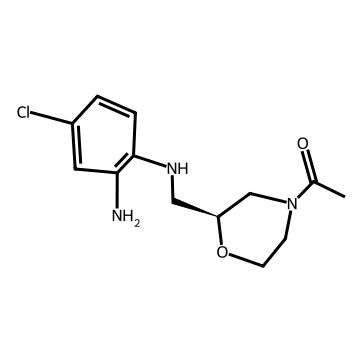 CC(=O)N1CCO[C@@H](CNc2ccc(Cl)cc2N)C1